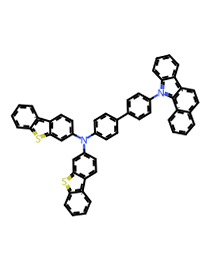 c1ccc2c(c1)ccc1c3ccccc3n(-c3ccc(-c4ccc(N(c5ccc6c(c5)sc5ccccc56)c5ccc6c(c5)sc5ccccc56)cc4)cc3)c21